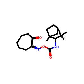 CC12CCC(C1)C(C)(C)C2NC(=O)ON=C1CCCCCC1=O